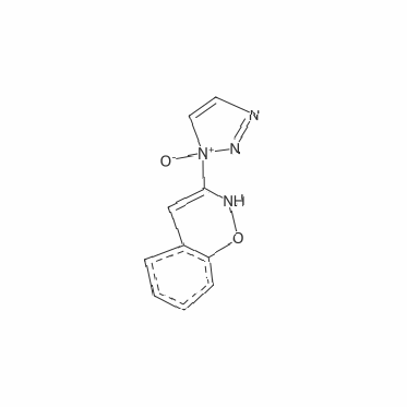 [O-][N+]1(C2=Cc3ccccc3ON2)C=CN=N1